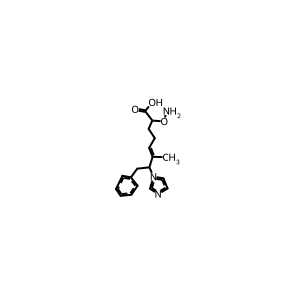 CC(=CCCC(ON)C(=O)O)C(Cc1ccccc1)n1ccnc1